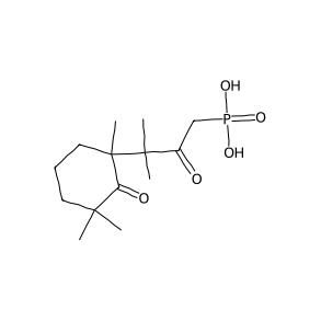 CC1(C)CCCC(C)(C(C)(C)C(=O)CP(=O)(O)O)C1=O